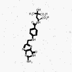 CC(O)(C[C@H](NC(=O)c1ccc(NCc2cnc3nc(N)[nH]c(=O)c3n2)cc1)C(=O)O)C(=O)O